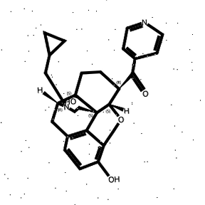 O=C(c1ccncc1)[C@@H]1CC[C@@]2(O)[C@H]3Cc4ccc(O)c5c4[C@@]2(CCN3CC2CC2)[C@H]1O5